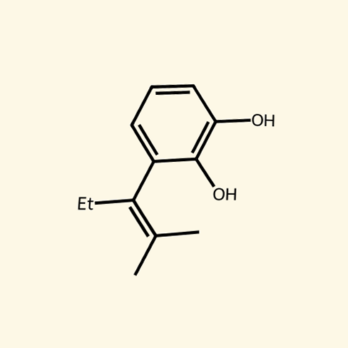 CCC(=C(C)C)c1cccc(O)c1O